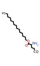 CCCCCCCCCCCCCCCCCCCCCCCCOC(=O)[C@@H](N)CCC(=O)O